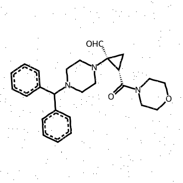 O=C[C@]1(N2CCN(C(c3ccccc3)c3ccccc3)CC2)C[C@@H]1C(=O)N1CCOCC1